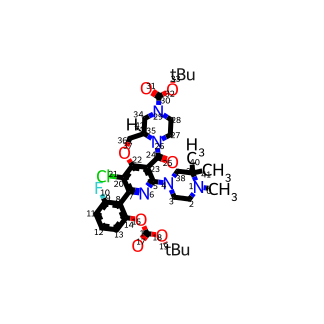 CN1CCN(c2nc(-c3c(F)cccc3OC(=O)OC(C)(C)C)c(Cl)c3c2C(=O)N2CCN(C(=O)OC(C)(C)C)C[C@@H]2CO3)CC1(C)C